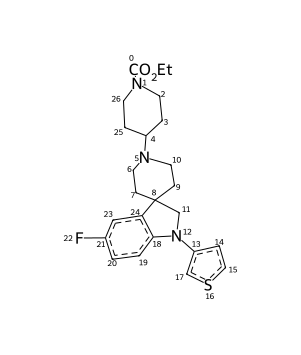 CCOC(=O)N1CCC(N2CCC3(CC2)CN(c2ccsc2)c2ccc(F)cc23)CC1